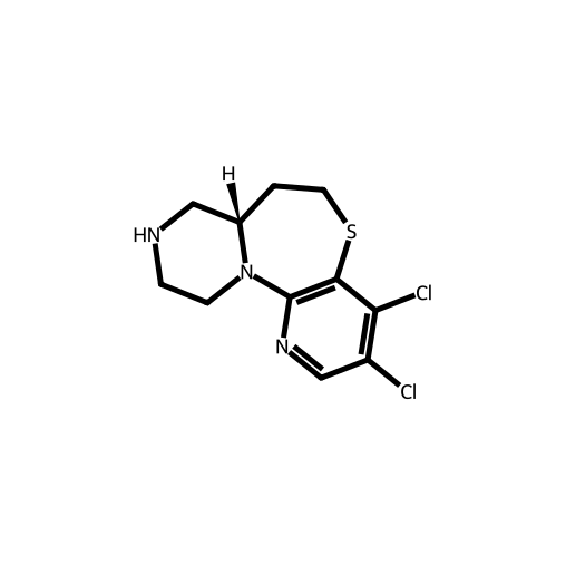 Clc1cnc2c(c1Cl)SCC[C@H]1CNCCN21